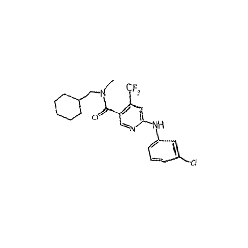 CN(CC1CCCCC1)C(=O)c1cnc(Nc2cccc(Cl)c2)cc1C(F)(F)F